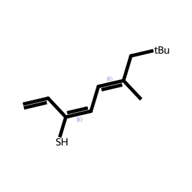 C=C/C(S)=C\C=C(/C)CC(C)(C)C